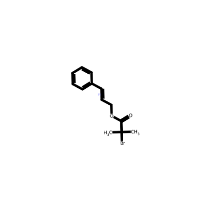 CC(C)(Br)C(=O)OC/C=C/c1ccccc1